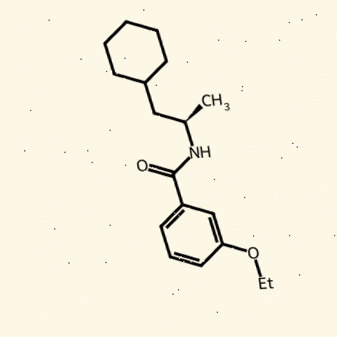 CCOc1cccc(C(=O)N[C@H](C)CC2CCCCC2)c1